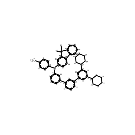 CC(C)(C)c1ccc(N(c2cccc(-c3cccc(-c4cc(C5CCCCC5)cc(C5CCCCC5)c4)c3)c2)c2ccc3c(c2)C(C)(C)c2ccccc2-3)cc1